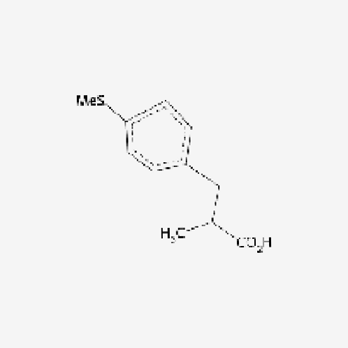 CSc1ccc(CC(C)C(=O)O)cc1